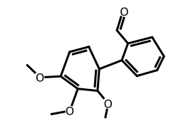 COc1ccc(-c2ccccc2C=O)c(OC)c1OC